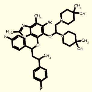 CC(=O)c1c(OC(CN2CCC(C)(O)CC2)N2CCC(C)(O)CC2)c(OC(CC(C)c2ccc(F)cc2)c2ccc(F)cc2)c2oc(C)nc2c1C